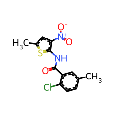 Cc1ccc(Cl)c(C(=O)Nc2sc(C)cc2[N+](=O)[O-])c1